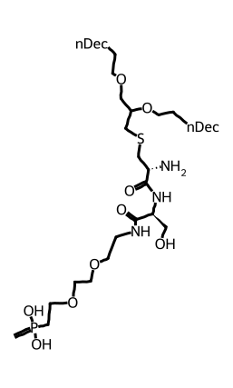 C=P(O)(O)CCOCCOCCNC(=O)[C@H](CO)NC(=O)[C@@H](N)CSCC(COCCCCCCCCCCCC)OCCCCCCCCCCCC